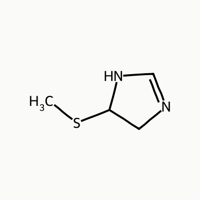 CSC1CN=CN1